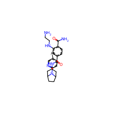 CC(=O)c1ccc(N2C3CCC2CC(NC(=O)c2ccc(C(N)=O)c(NCCN)c2)C3)nc1